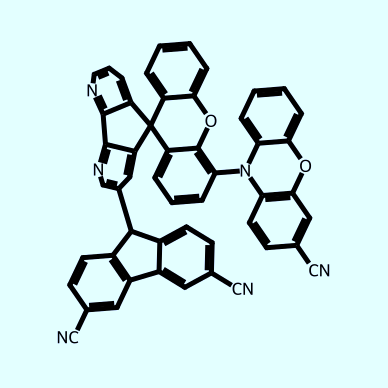 N#Cc1ccc2c(c1)Oc1ccccc1N2c1cccc2c1Oc1ccccc1C21c2cccnc2-c2ncc(C3c4ccc(C#N)cc4-c4cc(C#N)ccc43)cc21